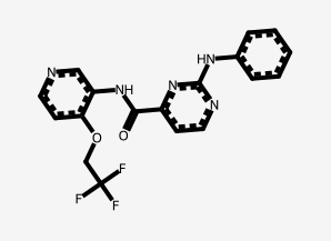 O=C(Nc1cnccc1OCC(F)(F)F)c1ccnc(Nc2ccccc2)n1